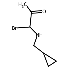 CC(=O)C(Br)NCC1CC1